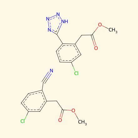 COC(=O)Cc1cc(Cl)ccc1-c1nnn[nH]1.COC(=O)Cc1cc(Cl)ccc1C#N